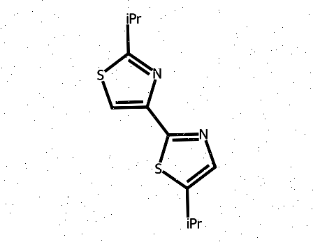 CC(C)c1cnc(-c2csc(C(C)C)n2)s1